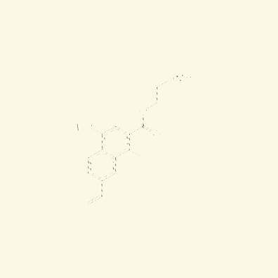 C=Cc1ccc2c(O)cc(C(=O)OCCOC)c(C)c2c1